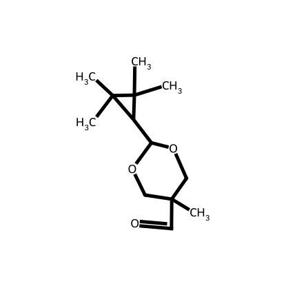 CC1(C=O)COC(C2C(C)(C)C2(C)C)OC1